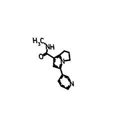 CNC(=O)c1cc(-c2cccnc2)n2c1CCC2